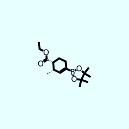 CCOC(=O)[C@@H]1CCC(B2OC(C)(C)C(C)(C)O2)=C[C@@H]1C